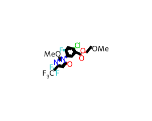 COCCOC(=O)c1cc(-n2c(OC)nc(C(F)(F)C(F)(F)F)cc2=O)c(F)cc1Cl